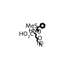 CS[C@H](C(=O)N[C@@H](CCC(=O)C=[N+]=[N-])C(=O)O)c1ccccc1